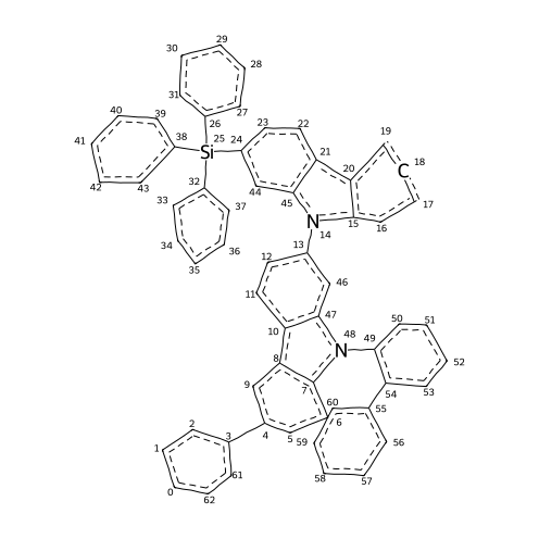 c1ccc(-c2ccc3c(c2)c2ccc(-n4c5ccccc5c5ccc([Si](c6ccccc6)(c6ccccc6)c6ccccc6)cc54)cc2n3-c2ccccc2-c2ccccc2)cc1